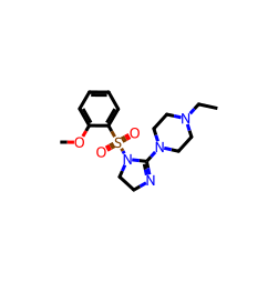 CCN1CCN(C2=NCCN2S(=O)(=O)c2ccccc2OC)CC1